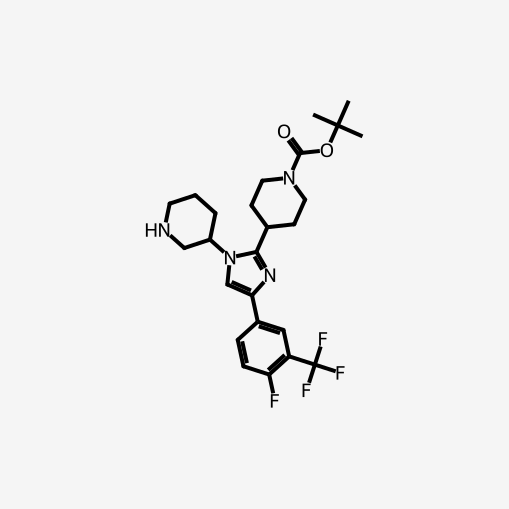 CC(C)(C)OC(=O)N1CCC(c2nc(-c3ccc(F)c(C(F)(F)F)c3)cn2C2CCCNC2)CC1